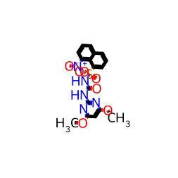 COc1cc(OC)nc(NC(=O)NS(=O)(=O)c2cccc3cccc([N+](=O)[O-])c23)n1